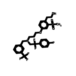 CS(=O)(=O)c1cc(OCCCN(Cc2cccc(C(F)(F)F)c2)CC(F)(F)c2ccc(F)cc2)ccc1CCO